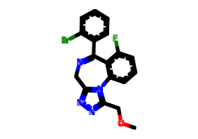 COCc1nnc2n1-c1cccc(F)c1C(c1ccccc1Br)=NC2